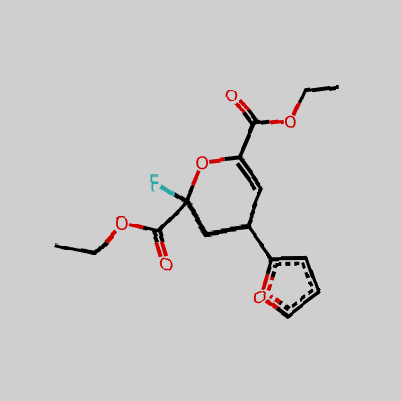 CCOC(=O)C1=CC(c2ccco2)CC(F)(C(=O)OCC)O1